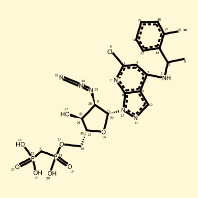 CC(Nc1cc(Cl)nc2c1cnn2[C@@H]1O[C@H](COP(=O)(O)CP(=O)(O)O)[C@@H](O)[C@H]1N=[N+]=[N-])c1ccccc1F